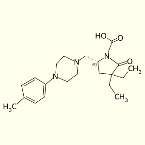 CCC1(CC)C[C@H](CN2CCN(c3ccc(C)cc3)CC2)N(C(=O)O)C1=O